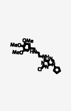 COc1cc(CNCCNc2nc(Cl)nc3c2ncn3C2CCCC2)cc(OC)c1OC